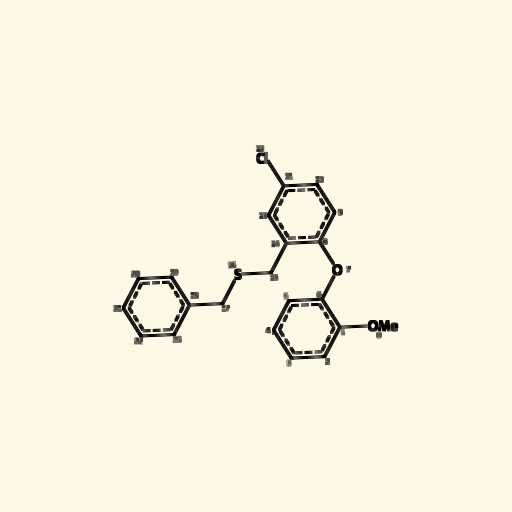 COc1cc[c]cc1Oc1ccc(Cl)cc1CSCc1ccccc1